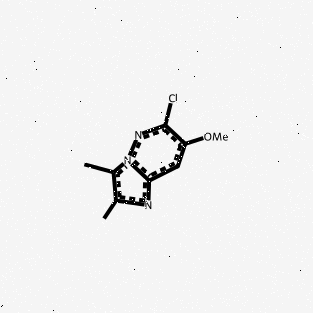 COc1cc2nc(C)c(C)n2nc1Cl